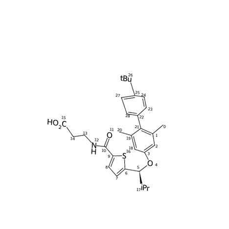 Cc1cc(O[C@H](c2ccc(C(=O)NCCC(=O)O)s2)C(C)C)cc(C)c1-c1ccc(C(C)(C)C)cc1